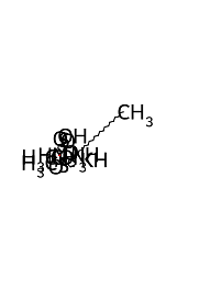 CCCCCCCCCCCCCCCCCCNC(=O)c1cccc(SC(C(=O)Nc2ccc(S(=O)(=O)O)cc2)C(=O)C(C)(C)C)c1.[KH]